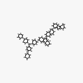 c1ccc(-c2ccc(N(c3ccc(-c4ccccc4)cc3)c3ccc(-c4ccc5c(c4)c4ccccc4n5-c4ccc5cc(-c6cccc7c6oc6ccccc67)ccc5c4)cc3)cc2)cc1